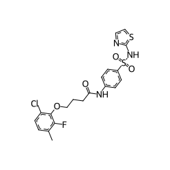 Cc1ccc(Cl)c(OCCCC(=O)Nc2ccc(S(=O)(=O)Nc3nccs3)cc2)c1F